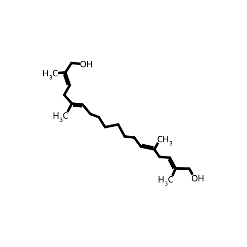 C/C(=C\C/C(C)=C/CCCCCC/C=C(\C)C/C=C(\C)CO)CO